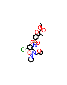 CCOC(=O)c1oc2ccc(S(=O)(=O)N(C)c3ccc(Cl)cc3CN(Cc3ccco3)C(=O)N3CCCCC3)cc2c1C